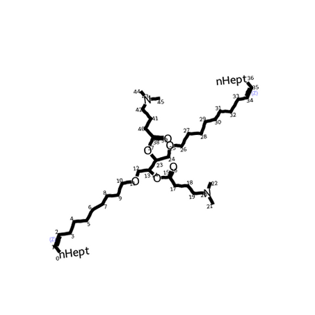 CCCCCCC/C=C\CCCCCCCCOCC(OC(=O)CCCN(C)C)C(COCCCCCCCC/C=C\CCCCCCC)OC(=O)CCCN(C)C